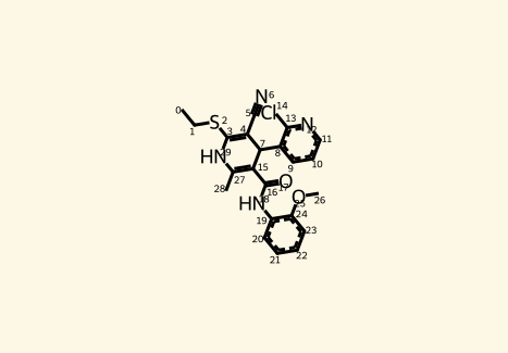 CCSC1=C(C#N)C(c2cccnc2Cl)C(C(=O)Nc2ccccc2OC)=C(C)N1